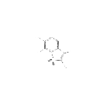 NC1=C(Cl)c2ccc(Cl)c(N)c2S1(=O)=O